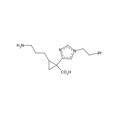 CC(C)CCn1cnc(C2(C(=O)O)CC2CCCN)c1